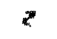 CC[N@@+]1(C(=O)OC(C)(C)C)CCC[C@H]1C(=O)NCCn1cnc2cnc(N)cc21